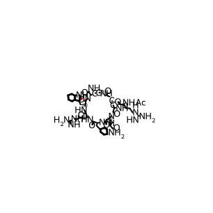 CC(=O)N[C@@H](CCCNC(=N)N)C(=O)NC1CCCC(=O)NCCC(C(N)=O)NC(=O)[C@H](Cc2c[nH]c3ccccc23)NC(=O)[C@H](CCCNC(=N)N)NC(=O)C(Cc2ccccc2)NC(=O)[C@H](CCC(N)=O)NC1=O